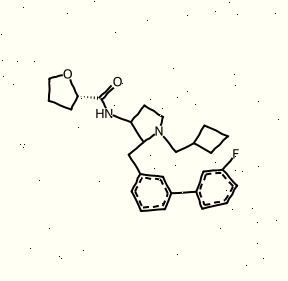 O=C(NC1CCN(CC2CCC2)C1Cc1cccc(-c2cccc(F)c2)c1)[C@@H]1CCCO1